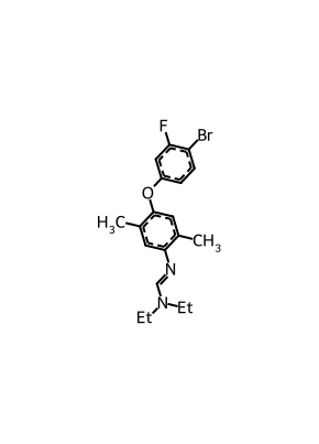 CCN(C=Nc1cc(C)c(Oc2ccc(Br)c(F)c2)cc1C)CC